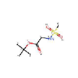 CC(C)(C)OC(=O)CNS(C)(=O)=O